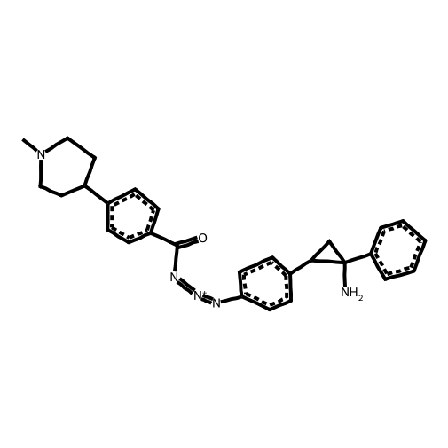 CN1CCC(c2ccc(C(=O)N=[N+]=Nc3ccc(C4CC4(N)c4ccccc4)cc3)cc2)CC1